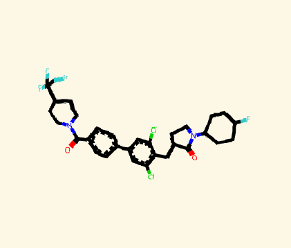 O=C(c1ccc(-c2cc(Cl)c(CC3CCN(C4CCC(F)CC4)C3=O)c(Cl)c2)cc1)N1CCC(C(F)(F)F)CC1